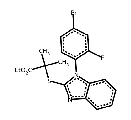 CCOC(=O)C(C)(C)Sc1nc2ccccc2n1-c1ccc(Br)cc1F